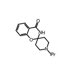 CC(C)N1CCC2(CC1)NC(=O)c1ccccc1O2